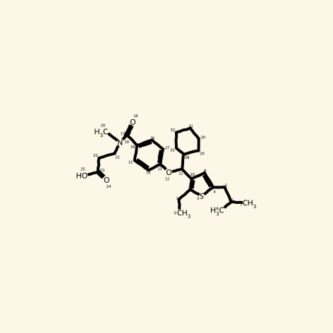 CCc1sc(CC(C)C)cc1C(Oc1ccc(C(=O)N(C)CCC(=O)O)cc1)C1CCCCC1